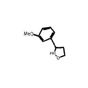 COc1cccc(C2CCON2)c1